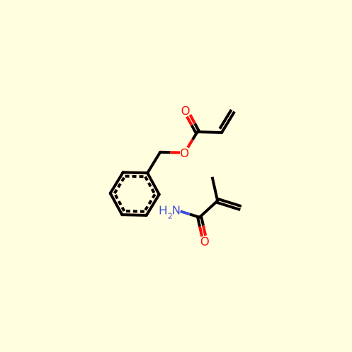 C=C(C)C(N)=O.C=CC(=O)OCc1ccccc1